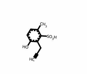 C#CCc1c(O)ccc(C)c1S(=O)(=O)O